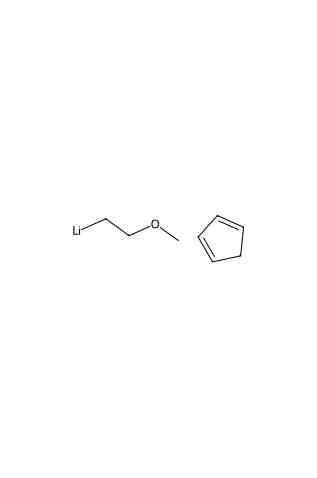 C1=CCC=C1.[Li][CH2]COC